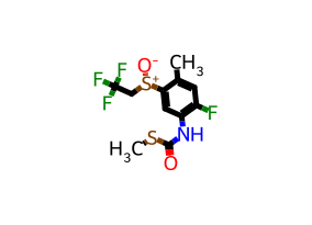 CSC(=O)Nc1cc([S+]([O-])CC(F)(F)F)c(C)cc1F